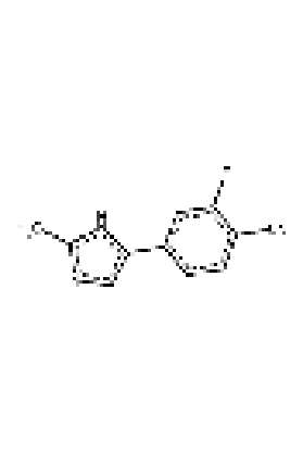 Cc1ncc(-c2ccc(C#N)c(F)c2)[nH]1